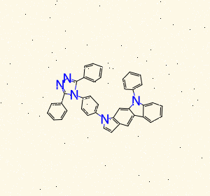 c1ccc(-c2nnc(-c3ccccc3)n2-c2ccc(-n3ccc4cc5c6ccccc6n(-c6ccccc6)c5cc43)cc2)cc1